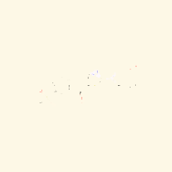 CS(=O)(=O)c1cccc(C(=O)c2cnc(N3CC(O)C4(CC4)C3)s2)c1